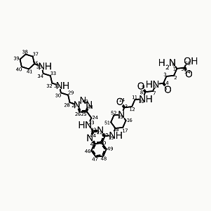 NC(CCC(=O)NCC(=O)NCCC(=O)N1CCC(Nc2nc(NCc3cn(CCCNCCCNC4CCCCC4)nn3)nc3ccccc23)CC1)C(=O)O